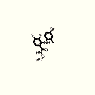 CCCONC(=O)c1ccc(F)c(F)c1Nc1ccc(Br)cc1C